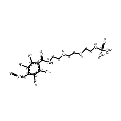 [N-]=[N+]=Nc1c(F)c(F)c(C(=O)NCCOCCOCCOP(=O)(O)O)c(F)c1F